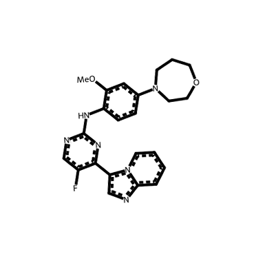 COc1cc(N2CCCOCC2)ccc1Nc1ncc(F)c(-c2cnc3ccccn23)n1